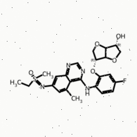 CCS(C)(=O)=Nc1cc(C)c2c(Nc3ccc(F)cc3O[C@@H]3COC4C3OC[C@H]4O)ncnc2c1